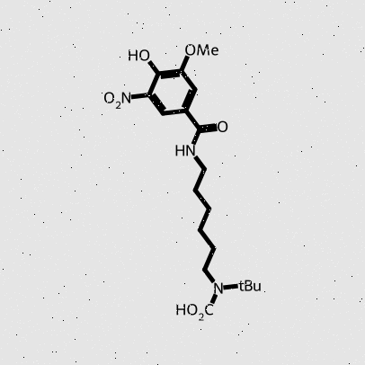 COc1cc(C(=O)NCCCCCCN(C(=O)O)C(C)(C)C)cc([N+](=O)[O-])c1O